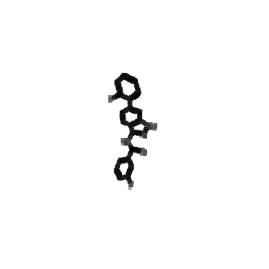 O=C(Nc1n[nH]c2cc(-c3ccccc3F)ccc12)c1cccc(F)c1